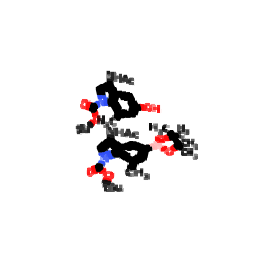 CC(=O)Nc1cn(C(=O)OC(C)(C)C)c2c(C)cc(B3OC(C)(C)C(C)(C)O3)cc12.CC(=O)Nc1cn(C(=O)OC(C)(C)C)c2c(C)cc(O)cc12